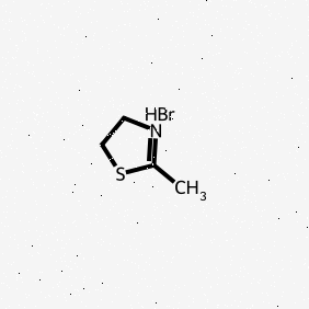 Br.CC1=NCCS1